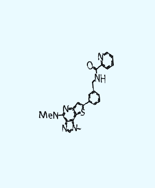 CNc1nc2cc(-c3cccc(CNC(=O)c4ccccn4)c3)sc2c2c1ncn2C